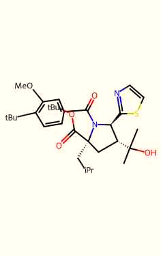 COc1cc(C(=O)N2[C@@H](c3nccs3)[C@H](C(C)(C)O)C[C@@]2(CC(C)C)C(=O)OC(C)(C)C)ccc1C(C)(C)C